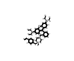 C=Cc1ccc(C[N+]2(C)CCN(C(=O)c3ccccc3-c3c4ccc(=[N+](CC)CC)cc-4oc4cc(N(CC)CC)ccc34)CC2)cc1